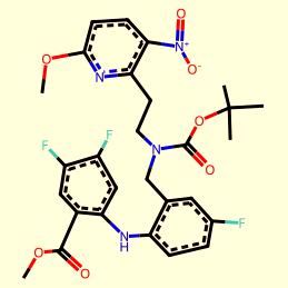 COC(=O)c1cc(F)c(F)cc1Nc1ccc(F)cc1CN(CCc1nc(OC)ccc1[N+](=O)[O-])C(=O)OC(C)(C)C